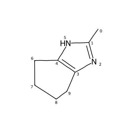 Cc1nc2c([nH]1)CCCC2